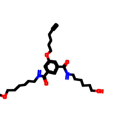 C#CCCCCOc1cc(C(=O)NCCCCCCO)cc(C(=O)NCCCCCCOC(C)C)c1